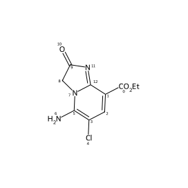 CCOC(=O)C1=CC(Cl)=C(N)N2CC(=O)N=C12